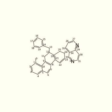 Cc1cccc2ccc3c(c12)CC(Cc1ccccc1)C1=C3C=CCC1.c1cnc2ccncc2c1